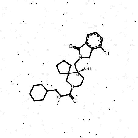 C[C@H](CC1CCCCC1)C(=O)N1CC[C@@](O)(CN2Cc3c(Cl)cccc3C2=O)C2(CCCC2)C1